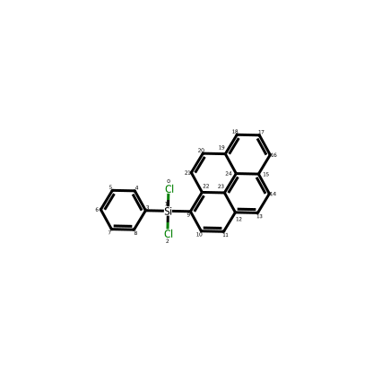 Cl[Si](Cl)(c1ccccc1)c1ccc2ccc3cccc4ccc1c2c34